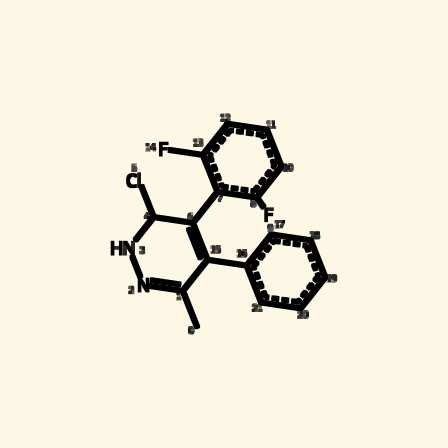 CC1=NNC(Cl)C(c2c(F)cccc2F)=C1c1ccccc1